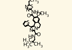 CCc1nnc(NC(=O)c2cc3c(cc2OC)CCn2c(C(=O)NCC(C)(C)C)nc(-c4cccs4)c2-3)s1